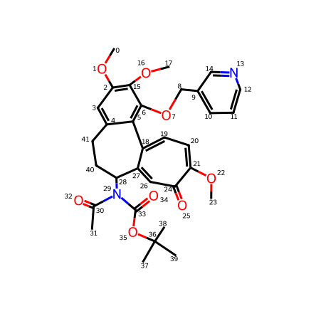 COc1cc2c(c(OCc3cccnc3)c1OC)-c1ccc(OC)c(=O)cc1C(N(C(C)=O)C(=O)OC(C)(C)C)CC2